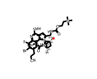 CSc1nc2c(F)c(Br)c(CCC#N)cc2c2c1cc([C@@H](C)NC(=O)OCC[Si](C)(C)C)n2[C@H]1[C@@H]2C[C@H]1N(C(=O)OC(C)(C)C)C2